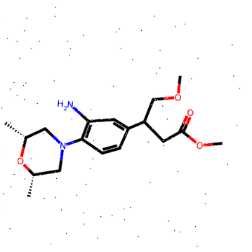 COCC(CC(=O)OC)c1ccc(N2C[C@@H](C)O[C@@H](C)C2)c(N)c1